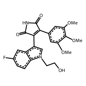 COc1cc(C2=C(c3cn(CCO)c4ccc(F)cc34)C(=O)NC2=O)cc(OC)c1OC